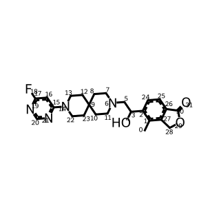 Cc1c(C(O)CN2CCC3(CC2)CCN(c2cc(F)ncn2)CC3)ccc2c1COC2=O